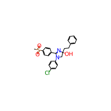 CS(=O)(=O)c1ccc(C2=NC(O)(CCc3ccccc3)CN2c2ccc(Cl)cc2)cc1